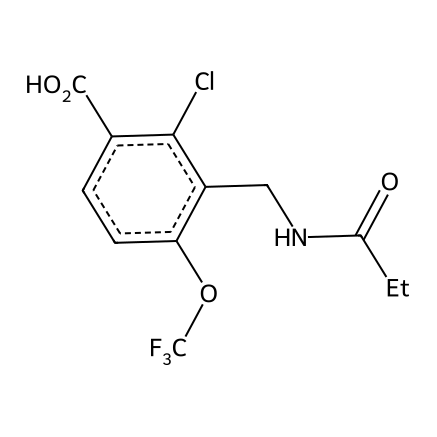 CCC(=O)NCc1c(OC(F)(F)F)ccc(C(=O)O)c1Cl